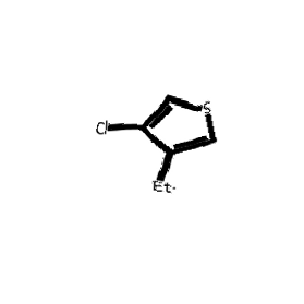 C[CH]c1cscc1Cl